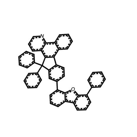 c1ccc(-c2cccc3c2oc2c(-c4ccc5c(c4)C(c4ccccc4)(c4ccccc4)c4c-5c5ccccc5c5ncccc45)cccc23)cc1